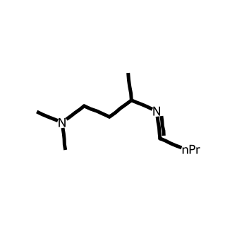 CCCC=NC(C)CCN(C)C